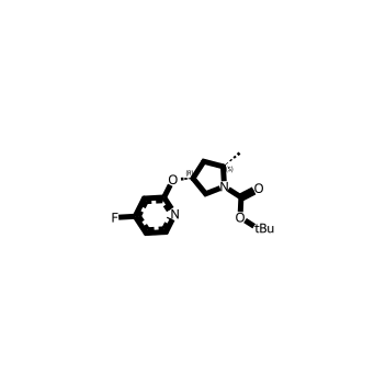 C[C@H]1C[C@@H](Oc2cc(F)ccn2)CN1C(=O)OC(C)(C)C